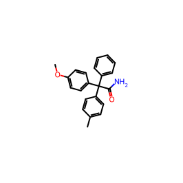 COc1ccc(C(C(N)=O)(c2ccccc2)c2ccc(C)cc2)cc1